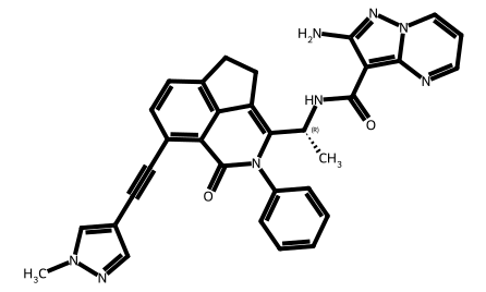 C[C@@H](NC(=O)c1c(N)nn2cccnc12)c1c2c3c(ccc(C#Cc4cnn(C)c4)c3c(=O)n1-c1ccccc1)CC2